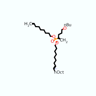 C=CCCCCCCCOP(=O)(OCCCCCCC/C=C/CCCCCCCC)C(=C)CCCOCCCC